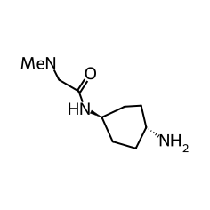 CNCC(=O)N[C@H]1CC[C@H](N)CC1